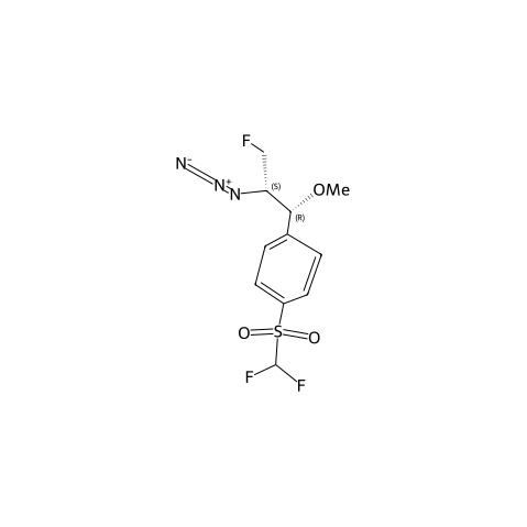 CO[C@H](c1ccc(S(=O)(=O)C(F)F)cc1)[C@@H](CF)N=[N+]=[N-]